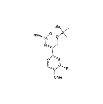 COc1ccc(C(CO[Si](C)(C)C(C)(C)C)=N[S@+]([O-])C(C)(C)C)cc1F